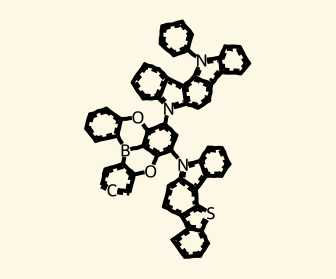 c1ccc(-n2c3ccccc3c3ccc4c(c5ccccc5n4-c4cc(-n5c6ccccc6c6c7sc8ccccc8c7ccc65)c5c6c4Oc4ccccc4B6c4ccccc4O5)c32)cc1